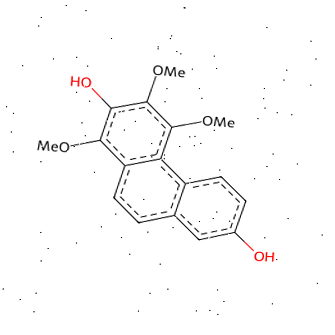 COc1c(O)c(OC)c2ccc3cc(O)ccc3c2c1OC